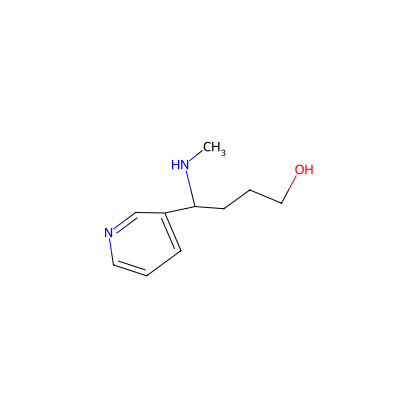 CNC(CCCO)c1cccnc1